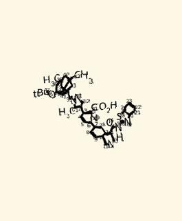 Cc1c(-c2ccc(-c3ccc4cncc(C(=O)Nc5nc6ccccc6s5)c4c3)nc2C(=O)O)cnn1CC12CC3(C)CC(C)(C1)CC(OC(C)(C)C)(C3)C2